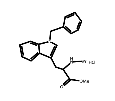 COC(=O)C(Cc1cn(Cc2ccccc2)c2ccccc12)NC(C)C.Cl